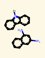 CCn1c2ccccc2c2ccccc21.Nc1cc(N)c2ccccc2c1